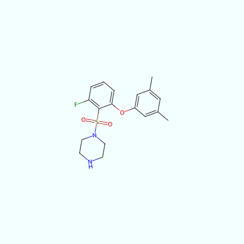 Cc1cc(C)cc(Oc2cccc(F)c2S(=O)(=O)N2CCNCC2)c1